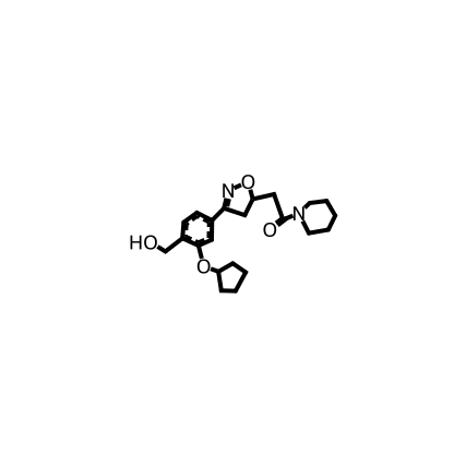 O=C(CC1CC(c2ccc(CO)c(OC3CCCC3)c2)=NO1)N1CCCCC1